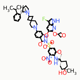 CC(C)c1ccccc1[C@@H]1CCCN1C1CC2(CCN(c3ccc(C(=O)NS(=O)(=O)c4cc5c(c([N+](=O)[O-])c4)N[C@@H]([C@H]4CC[C@](C)(O)CC4)CO5)c(Oc4cc5c(F)c[nH]c5nc4OC4COC4)c3)CC2)C1